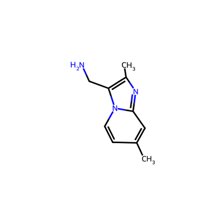 Cc1ccn2c(CN)c(C)nc2c1